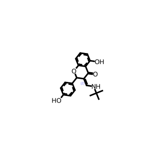 CC(C)(C)N/C=C1\C(=O)c2c(O)cccc2OC1c1ccc(O)cc1